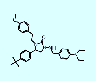 CCN(CC)c1ccc(CNN2CC(c3ccc(C(C)(C)C)cc3)N(CCc3ccc(OC)cc3)C2=O)cc1